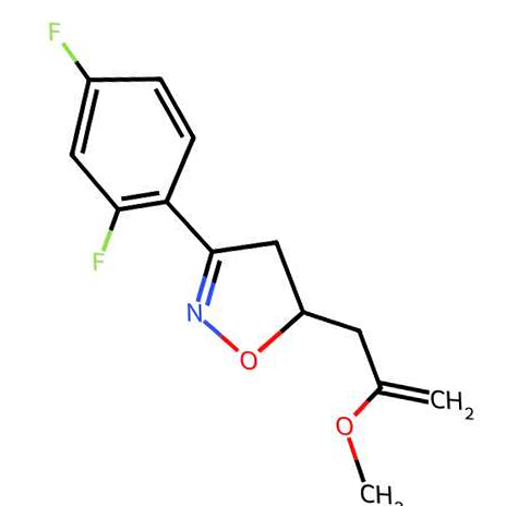 C=C(CC1CC(c2ccc(F)cc2F)=NO1)OC